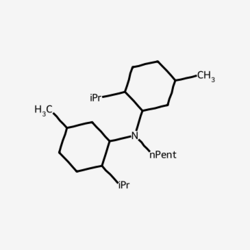 CCCCCN(C1CC(C)CCC1C(C)C)C1CC(C)CCC1C(C)C